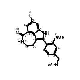 CNCc1ccc(-c2[nH]c3cc(F)cc4c3c2CCNC4=O)c(OC)c1